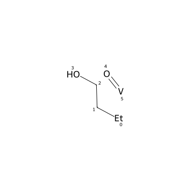 CCCCO.[O]=[V]